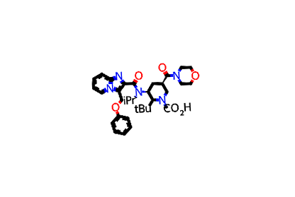 CC(C)N(C(=O)c1nc2ccccn2c1COc1ccccc1)[C@H]1C[C@@H](C(=O)N2CCOCC2)CN(C(=O)O)C1C(C)(C)C